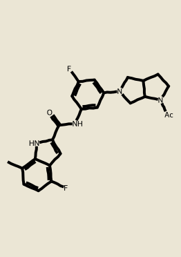 CC(=O)N1CCC2CN(c3cc(F)cc(NC(=O)c4cc5c(F)ccc(C)c5[nH]4)c3)CC21